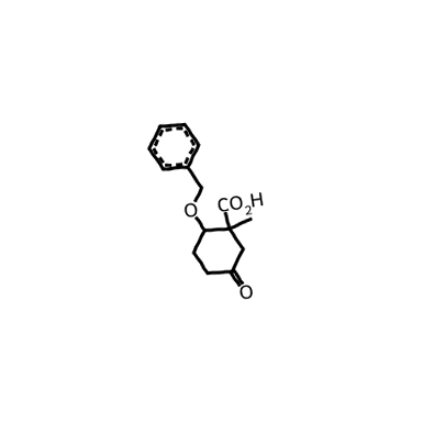 CC1(C(=O)O)CC(=O)CCC1OCc1ccccc1